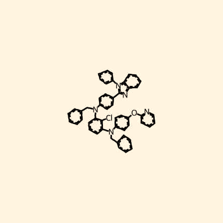 Clc1c(N(Cc2ccccc2)c2ccc(Oc3ccccn3)cc2)cccc1N(Cc1ccccc1)c1ccc(-c2nc3ccccc3n2-c2ccccc2)cc1